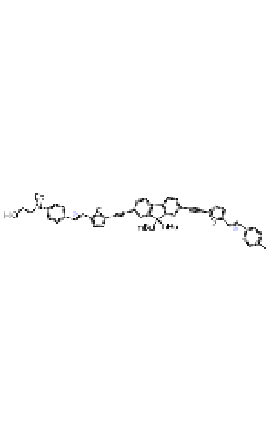 CCCCC1(CCCC)c2cc(C#Cc3ccc(/C=C/c4ccc(C)cc4)s3)ccc2-c2ccc(C#Cc3ccc(/C=C/c4ccc(N(CC)CCO)cc4)s3)cc21